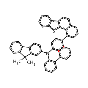 CC1(C)c2ccccc2-c2ccc(N(c3ccc(-c4cccc5ccc6c7ccccc7sc6c45)cc3)c3ccccc3-c3ccccc3)cc21